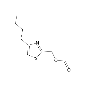 CCCCc1csc(CO[C]=O)n1